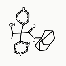 CC(O)C(C(=O)NC12CC3CC(CC(C3)C1)C2)(c1ccncn1)c1ccncn1